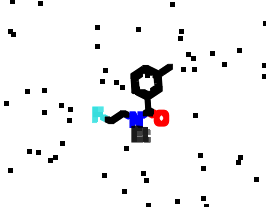 CCN(CCF)C(=O)c1cccc(C)c1